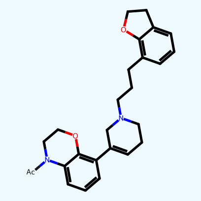 CC(=O)N1CCOc2c(C3=CCCN(CCCc4cccc5c4OCC5)C3)cccc21